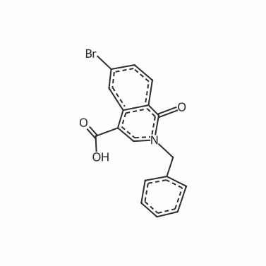 O=C(O)c1cn(Cc2ccccc2)c(=O)c2ccc(Br)cc12